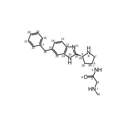 CNCC(=O)N[C@H]1CN[C@H](c2nc3ccc(Cc4ccccc4)cc3[nH]2)C1